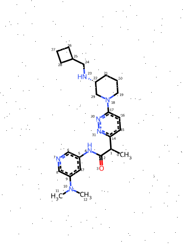 CC(C(=O)Nc1cncc(N(C)C)c1)c1ccc(N2CCC[C@@H](NCC3CCC3)C2)nn1